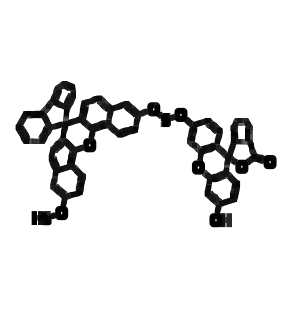 O=C1OC2(c3ccc(O)cc3Oc3cc(OSOc4ccc5c6c(ccc5c4)C4(c5ccccc5-c5ccccc54)c4ccc5cc(OS)ccc5c4O6)ccc32)c2ccccc21